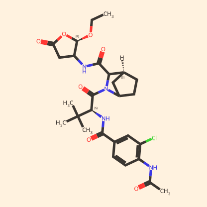 CCO[C@@H]1OC(=O)CC1NC(=O)C1[C@H]2CCC(C2)N1C(=O)[C@@H](NC(=O)c1ccc(NC(C)=O)c(Cl)c1)C(C)(C)C